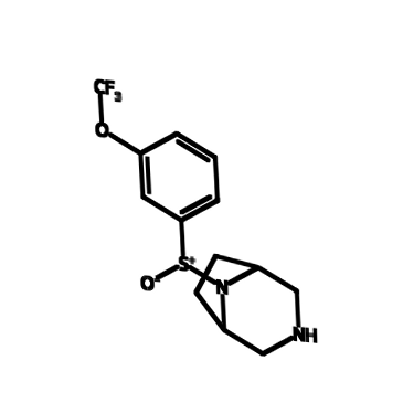 [O-][S+](c1cccc(OC(F)(F)F)c1)N1C2CCC1CNC2